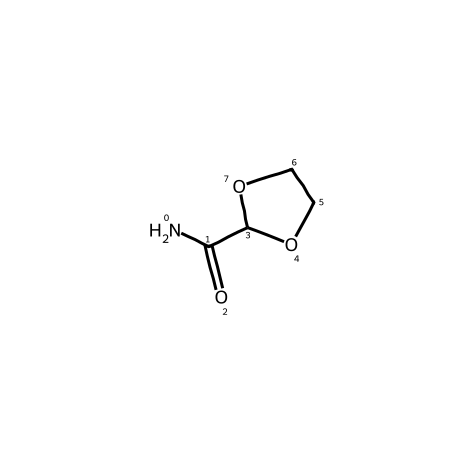 NC(=O)C1OCCO1